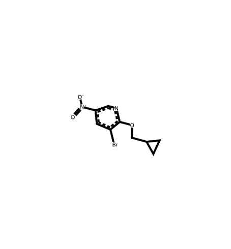 O=[N+]([O-])c1cnc(OCC2CC2)c(Br)c1